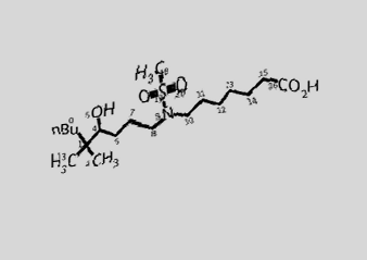 CCCCC(C)(C)C(O)CCCN(CCCCCCC(=O)O)S(C)(=O)=O